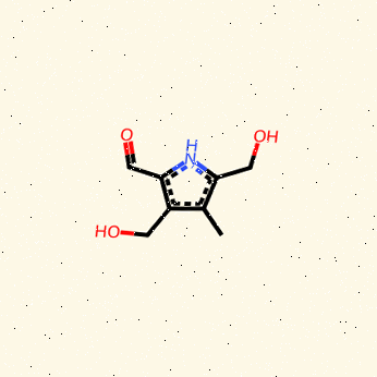 Cc1c(CO)[nH]c(C=O)c1CO